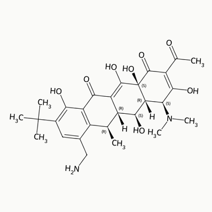 CC(=O)C1=C(O)[C@@H](N(C)C)[C@@H]2[C@@H](O)[C@H]3C(=C(O)[C@]2(O)C1=O)C(=O)c1c(O)c(C(C)(C)C)cc(CN)c1[C@@H]3C